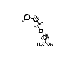 C[C@@H](O)c1nnc([C@H]2C[C@H](NC(=O)c3cc(-c4cccc(F)c4)on3)C2)o1